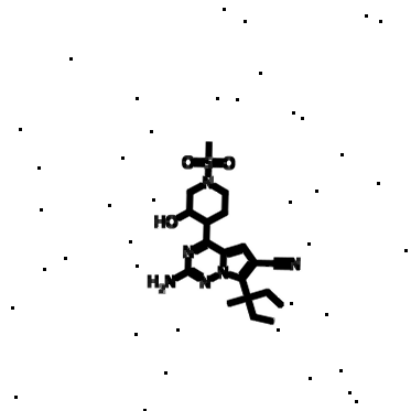 CCC(C)(CC)c1c(C#N)cc2c(C3CCN(S(C)(=O)=O)CC3O)nc(N)nn12